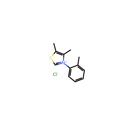 Cc1ccccc1-[n+]1csc(C)c1C.[Cl-]